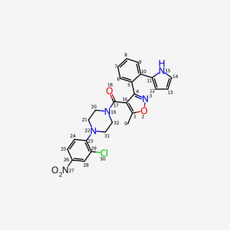 Cc1onc(-c2ccccc2-c2ccc[nH]2)c1C(=O)N1CCN(c2ccc([N+](=O)[O-])cc2Cl)CC1